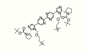 CC(C)(C)OC(=O)N1CCC[C@H]1c1ncc(-c2cnc(-c3ncc(-c4cnc([C@@H]5CCCN5C(=O)OC(C)(C)C)n4COCC[Si](C)(C)C)cn3)nc2)n1COCC[Si](C)(C)C